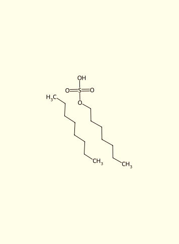 CCCCCCCC.CCCCCCCOS(=O)(=O)O